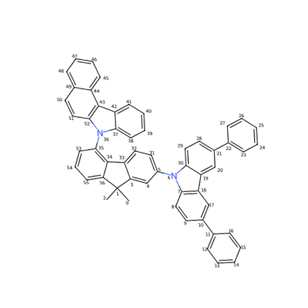 CC1(C)c2cc(-n3c4ccc(-c5ccccc5)cc4c4cc(-c5ccccc5)ccc43)ccc2-c2c(-n3c4ccccc4c4c5ccccc5ccc43)cccc21